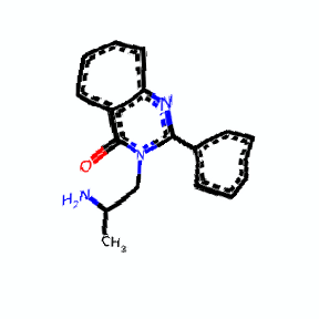 CC(N)Cn1c(-c2ccccc2)nc2ccccc2c1=O